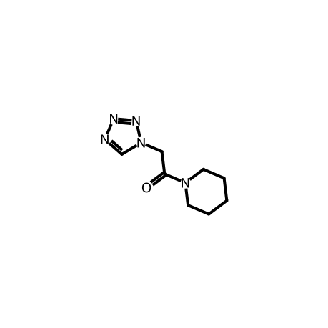 O=C(Cn1cnnn1)N1CCCCC1